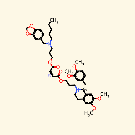 CCCCCN(CCCOC(=O)/C=C\C(=O)OCCCN1CCc2cc(OC)c(OC)cc2[C@H]1Cc1ccc(OC)c(OC)c1)Cc1ccc2c(c1)OCO2